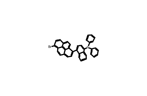 Brc1ccc2ccc3c(-c4ccc(N(c5ccccc5)c5ccccc5)c5ccccc45)ccc4ccc1c2c43